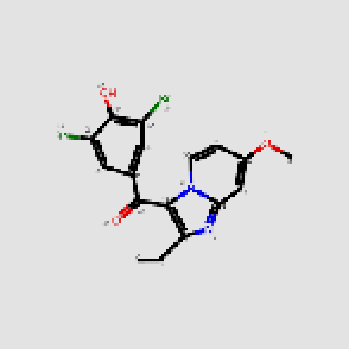 CCc1nc2cc(OC)ccn2c1C(=O)c1cc(Br)c(O)c(Br)c1